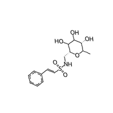 CC1O[C@H](CNS(=O)(=O)/C=C/c2ccccc2)C(O)C(O)[C@@H]1O